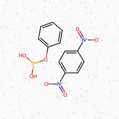 O=[N+]([O-])c1ccc([N+](=O)[O-])cc1.OP(O)Oc1ccccc1